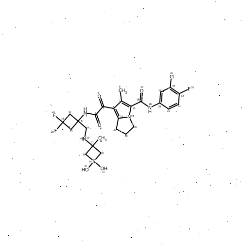 Cc1c(C(=O)C(=O)NC2(CNC3(C)CS(O)(O)C3)CC(F)(F)C2)c2n(c1C(=O)Nc1ccc(F)c(Cl)c1)CCC2